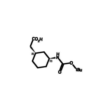 CC(C)(C)OC(=O)N[C@@H]1CCC[C@H](CC(=O)O)C1